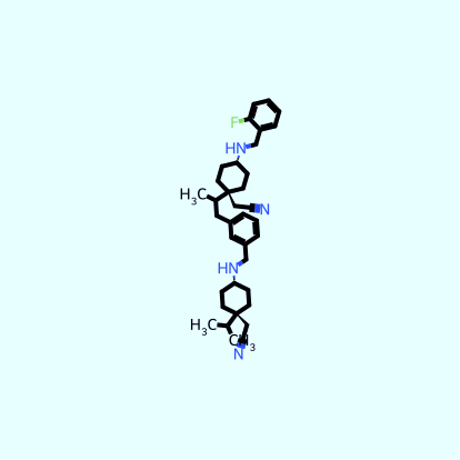 CC(C)[C@]1(CC#N)CC[C@H](NCc2cccc(CC(C)[C@]3(CC#N)CC[C@H](NCc4ccccc4F)CC3)c2)CC1